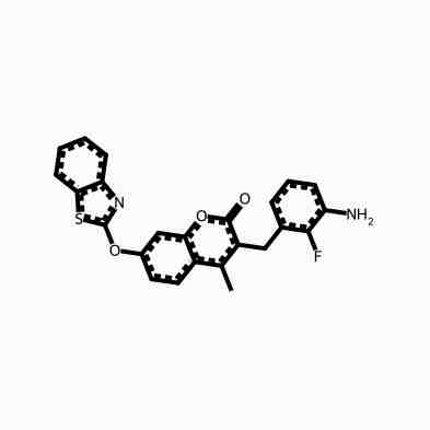 Cc1c(Cc2cccc(N)c2F)c(=O)oc2cc(Oc3nc4ccccc4s3)ccc12